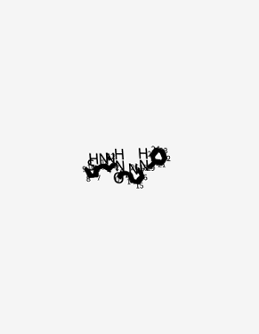 O=C(Nc1cc(-c2cccs2)[nH]n1)c1cccc(NCc2ccccc2)n1